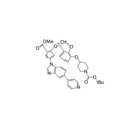 COC(=O)c1sc(-n2cnc3cc(-c4ccncc4)ccc32)cc1O[C@H](C)c1cccc(OC2CCN(C(=O)OC(C)(C)C)CC2)c1Cl